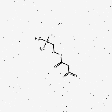 C[N+](C)(C)CCOC(=O)CP(=O)=O